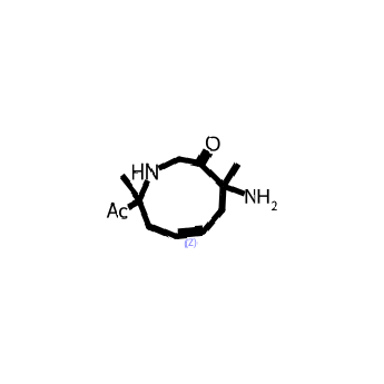 CC(=O)C1(C)C/C=C\CC(C)(N)C(=O)CN1